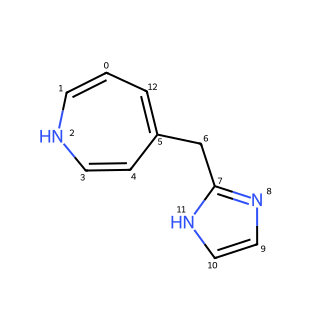 C1=CNC=CC(Cc2ncc[nH]2)=C1